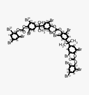 CC(C)(c1cc(Br)c(OC(=O)Oc2c(Br)cc(Br)cc2Br)c(Br)c1)c1cc(Br)c(OC(=O)Oc2c(Br)cc(C(C)(C)c3cc(Br)c(OC(=O)Oc4c(Br)cc(Br)cc4Br)c(Br)c3)cc2Br)c(Br)c1